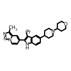 Cc1nnn2ccc(-c3[nH]c4ccc(C5CCN(C6CCOCC6)CC5)cc4c3C(C)C)cc12